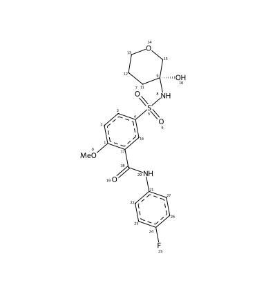 COc1ccc(S(=O)(=O)N[C@@]2(O)CCCOC2)cc1C(=O)Nc1ccc(F)cc1